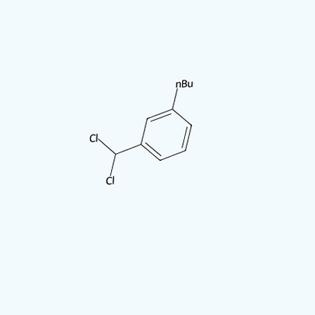 CCCCc1cccc(C(Cl)Cl)c1